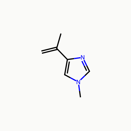 C=C(C)c1cn(C)cn1